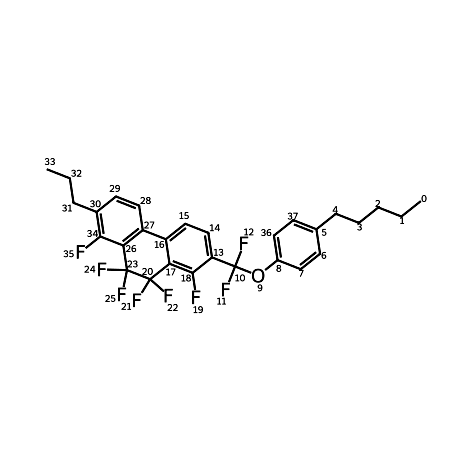 CCCCCc1ccc(OC(F)(F)c2ccc3c(c2F)C(F)(F)C(F)(F)c2c-3ccc(CCC)c2F)cc1